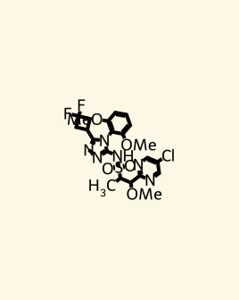 COc1cccc(OC)c1-n1c(NS(=O)(=O)C(C)C(OC)c2ncc(Cl)cn2)nnc1C1CC(F)(F)C1